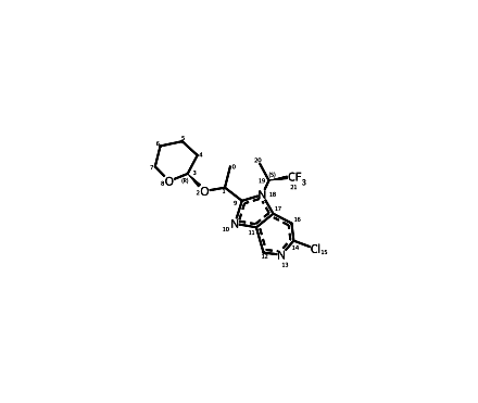 CC(O[C@@H]1CCCCO1)c1nc2cnc(Cl)cc2n1[C@@H](C)C(F)(F)F